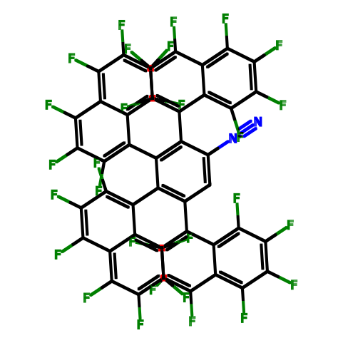 N#[N+]c1cc(-c2c(F)c(F)c(F)c3c(F)c(F)c(F)c(F)c23)c(-c2c(F)c(F)c(F)c3c(F)c(F)c(F)c(F)c23)c(-c2c(F)c(F)c(F)c3c(F)c(F)c(F)c(F)c23)c1-c1c(F)c(F)c(F)c2c(F)c(F)c(F)c(F)c12